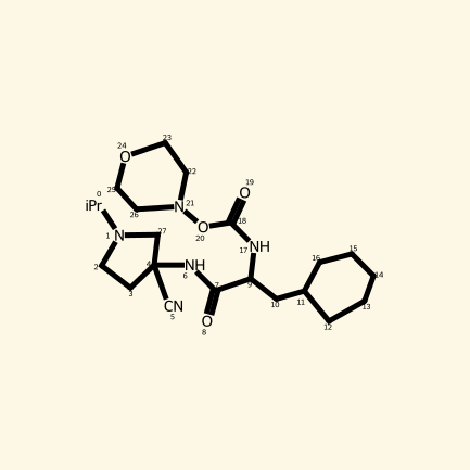 CC(C)N1CCC(C#N)(NC(=O)C(CC2CCCCC2)NC(=O)ON2CCOCC2)C1